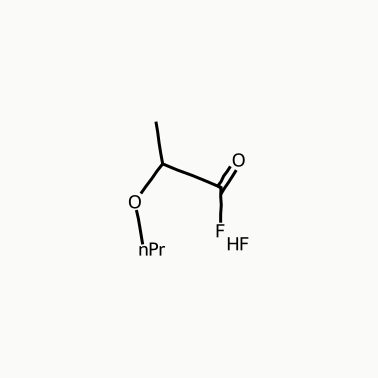 CCCOC(C)C(=O)F.F